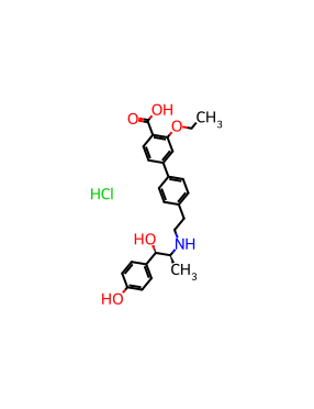 CCOc1cc(-c2ccc(CCN[C@@H](C)[C@H](O)c3ccc(O)cc3)cc2)ccc1C(=O)O.Cl